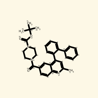 Cc1cc(-c2ccccc2-c2ccccc2)c2cc(C(=O)N3CCN(C(=O)OC(C)(C)C)CC3)ccc2n1